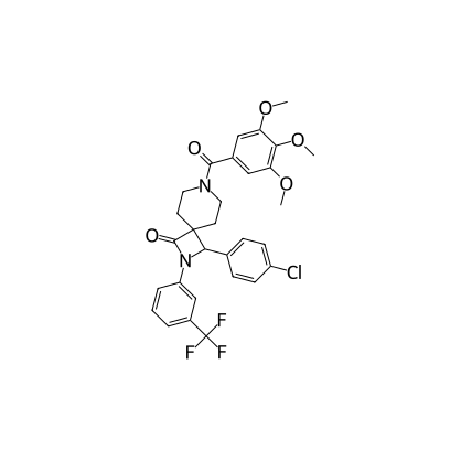 COc1cc(C(=O)N2CCC3(CC2)C(=O)N(c2cccc(C(F)(F)F)c2)C3c2ccc(Cl)cc2)cc(OC)c1OC